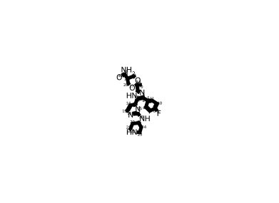 CC1(c2nc(-c3ccc(F)cc3)c(-c3ccnc(NC4CCNCC4)n3)[nH]2)OCC(C(N)=O)CO1